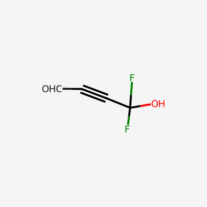 O=CC#CC(O)(F)F